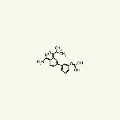 CC(C)c1nnc(N)c2ccc(-c3cccc(OB(O)O)c3)cc12